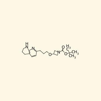 CC(C)(C)OC(=O)N1CC(OCCCc2ccc3c(n2)NCCC3)C1